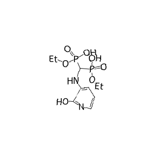 CCOP(=O)(O)C(Nc1cccnc1O)P(=O)(O)OCC